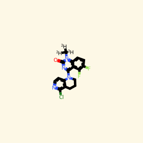 [2H]C([2H])([2H])n1c(=O)nc(N2CCCc3c2ccnc3Cl)c2c(F)c(F)ccc21